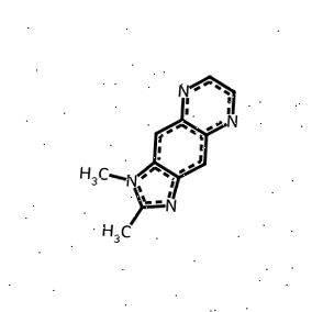 Cc1nc2cc3nccnc3cc2n1C